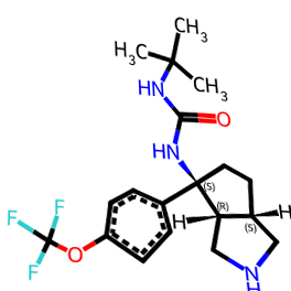 CC(C)(C)NC(=O)N[C@@]1(c2ccc(OC(F)(F)F)cc2)CC[C@@H]2CNC[C@@H]21